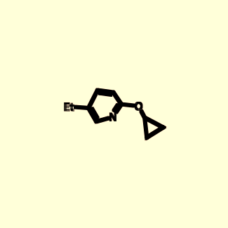 CCc1ccc(OC2CC2)nc1